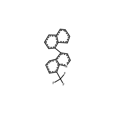 FC(F)(F)c1cccc2c(-c3cccc4ccccc34)[c]cnc12